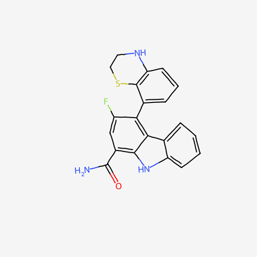 NC(=O)c1cc(F)c(-c2cccc3c2SCCN3)c2c1[nH]c1ccccc12